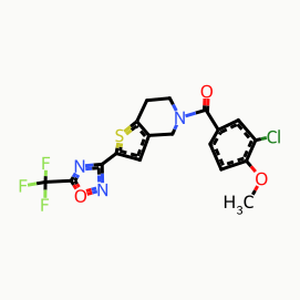 COc1ccc(C(=O)N2CCc3sc(-c4noc(C(F)(F)F)n4)cc3C2)cc1Cl